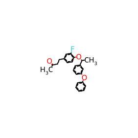 CC(=O)CCc1ccc(OC(C)c2cccc(Oc3ccccc3)c2)c(F)c1